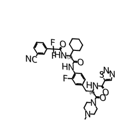 CN1CCN(C(=O)[C@@H](Cc2ccc(NC(=O)[C@@H](NC(=O)C(F)(F)c3cccc(C#N)c3)C3CCCCC3)c(F)c2)NC(=O)c2cnns2)CC1